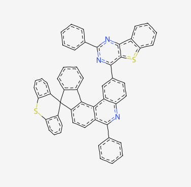 c1ccc(-c2nc(-c3ccc4nc(-c5ccccc5)c5ccc6c(c5c4c3)-c3ccccc3C63c4ccccc4Sc4ccccc43)c3sc4ccccc4c3n2)cc1